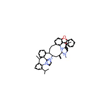 C=C1CC2C(CCc3ccc4oc5cccc6c5c4c3N3c4c(cccc4C6(C)C)N(C)C13)c1ccccc1-c1n(-c3c(C(C)C)cccc3C(C)C)cc[n+]12